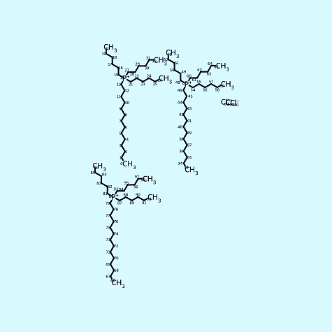 CCCCCCCCCCCCCC[P+](CCCCCC)(CCCCCC)CCCCCC.CCCCCCCCCCCCCC[P+](CCCCCC)(CCCCCC)CCCCCC.CCCCCCCCCCCCCC[P+](CCCCCC)(CCCCCC)CCCCCC.[Cl-].[Cl-].[Cl-]